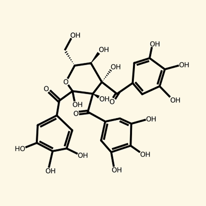 O=C(c1cc(O)c(O)c(O)c1)C1(O)O[C@H](CO)[C@@H](O)[C@@](O)(C(=O)c2cc(O)c(O)c(O)c2)[C@]1(O)C(=O)c1cc(O)c(O)c(O)c1